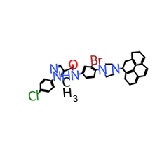 Cc1c(C(=O)Nc2ccc(N3CCN(C4CC5=c6c(ccc7c6=C4CCC=7)=CCC5)CC3)c(Br)c2)cnn1-c1ccc(Cl)cc1